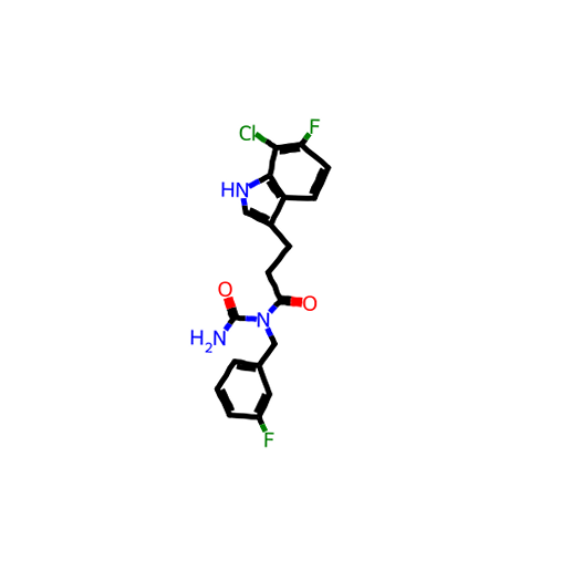 NC(=O)N(Cc1cccc(F)c1)C(=O)CCc1c[nH]c2c(Cl)c(F)ccc12